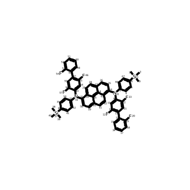 C[Si](C)(C)c1ccc(N(c2cc(F)c(-c3ccccc3F)cc2F)c2ccc3ccc4c(N(c5ccc([Si](C)(C)C)cc5)c5cc(F)c(-c6ccccc6F)cc5F)ccc5ccc2c3c54)cc1